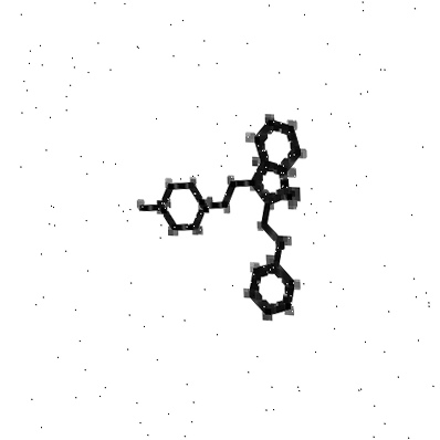 CN1CCN(CCc2c(CSc3ccccc3)[nH]c3ccccc23)CC1